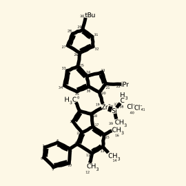 CC1=Cc2c(-c3ccccc3)c(C)c(C)c(C)c2[CH]1[Zr+2]([CH]1C(C(C)C)=Cc2c(-c3ccc(C(C)(C)C)cc3)cccc21)=[Si](C)C.[Cl-].[Cl-]